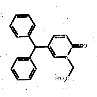 CCOC(=O)Cn1cc(C(c2ccccc2)c2ccccc2)ccc1=O